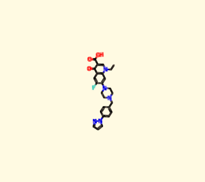 CCn1cc(C(=O)O)c(=O)c2cc(F)c(N3CCN(Cc4ccc(-n5cccn5)cc4)CC3)cc21